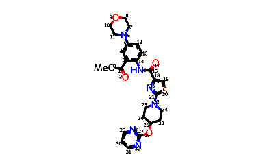 COC(=O)c1cc(N2CCOCC2)ccc1NC(=O)c1csc(N2CCC(Oc3ncccn3)CC2)n1